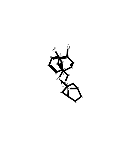 Clc1ccc(OC2CC3CCC(C2)N3NCc2ccccc2)cc1Cl